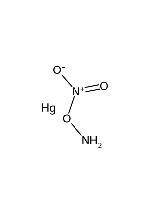 NO[N+](=O)[O-].[Hg]